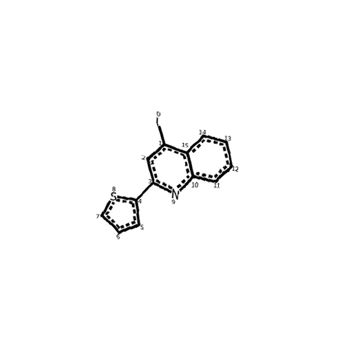 Ic1cc(-c2cccs2)nc2ccccc12